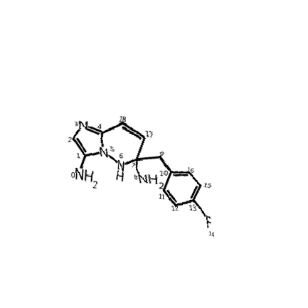 Nc1cnc2n1NC(N)(Cc1ccc(F)cc1)C=C2